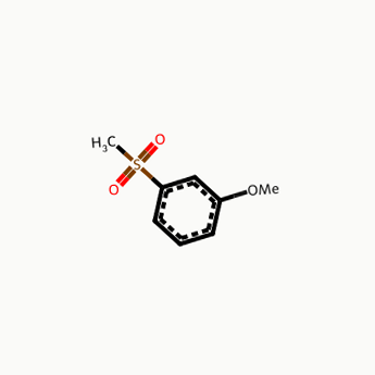 COc1cccc(S(C)(=O)=O)c1